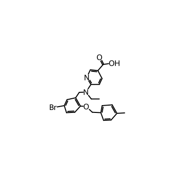 CCN(Cc1cc(Br)ccc1OCc1ccc(C)cc1)c1ccc(C(=O)O)cn1